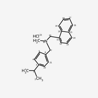 CC(C)c1ccc(CN(C)Cc2cccc3ccccc23)cc1.Cl